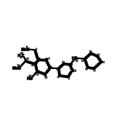 CN/C=c1/nc(-c2ccnc(Nc3ccccc3)c2)nc(O)/c1=C(/C)OC